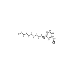 CCCCCCCCCCOc1cccc(CCl)c1